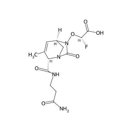 CC1=C[C@@H]2CN(C(=O)N2O[C@@H](F)C(=O)O)[C@@H]1C(=O)NCCC(N)=O